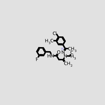 C=C(CC(=O)NCc1cccc(F)c1)N(CC)/N=C(\C)c1ccc(Cl)c(C)c1